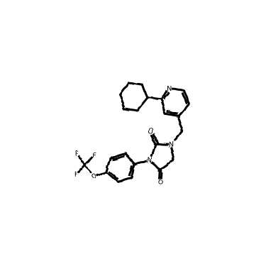 O=C1CN(Cc2ccnc(C3CCCCC3)c2)C(=O)N1c1ccc(OC(F)(F)F)cc1